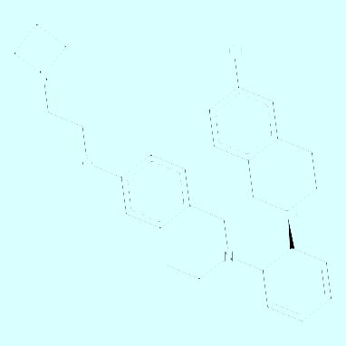 CCN(Cc1ccc(OCCN2CCC2)cc1)C1C=CC=CC1[C@@H]1CCc2cc(O)ccc2C1